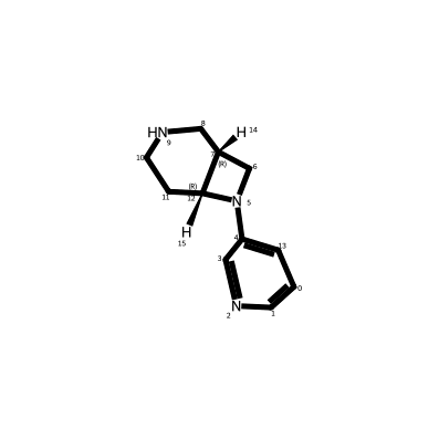 c1cncc(N2C[C@H]3CNCC[C@H]32)c1